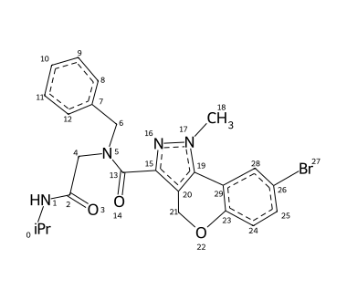 CC(C)NC(=O)CN(Cc1ccccc1)C(=O)c1nn(C)c2c1COc1ccc(Br)cc1-2